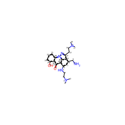 CN(C)CCNc1cc(CN)c2c(CCN(C)C)nn3c4cccc(O)c4c(=O)c1c23